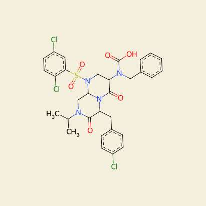 CC(C)N1CC2N(C(=O)C(N(Cc3ccccc3)C(=O)O)CN2S(=O)(=O)c2cc(Cl)ccc2Cl)C(Cc2ccc(Cl)cc2)C1=O